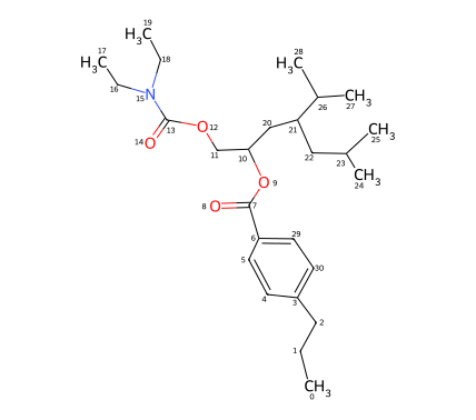 CCCc1ccc(C(=O)OC(COC(=O)N(CC)CC)CC(CC(C)C)C(C)C)cc1